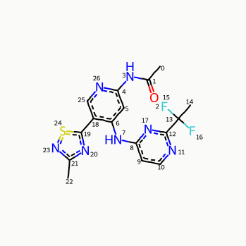 CC(=O)Nc1cc(Nc2ccnc(C(C)(F)F)n2)c(-c2nc(C)ns2)cn1